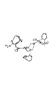 CS(=O)(=O)c1ccccc1S(=O)(=O)N1CCC(CNC(=O)c2nccnc2N)(c2ccccc2)CC1